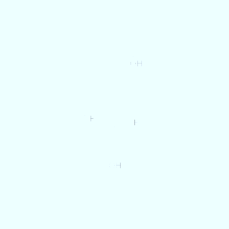 CC(C)(O)C(F)(F)CCO